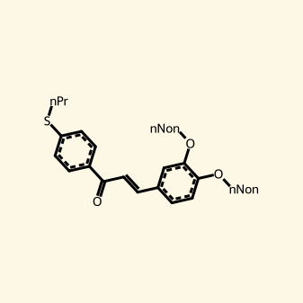 CCCCCCCCCOc1ccc(C=CC(=O)c2ccc(SCCC)cc2)cc1OCCCCCCCCC